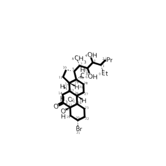 CC[C@@H](C(C)C)C(O)C(O)[C@@H](C)[C@H]1CC[C@H]2[C@@H]3CC(=O)[C@@]4(O)C[C@@H](Br)CC[C@]4(C)[C@H]3CC[C@]12C